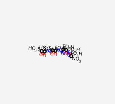 Nc1c(N=Nc2ccc3c(O)c(N=Nc4ccc5c(O)cc(S(=O)(=O)O)cc5c4S(=O)(=O)O)c(S(=O)(=O)O)cc3c2S(=O)(=O)O)cc(S(=O)(=O)O)c2cc(S(=O)(=O)O)c(N=Nc3ccc([N+](=O)[O-])cc3S(=O)(=O)O)c(O)c12